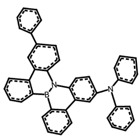 c1ccc(-c2ccc3c(c2)-c2ccccc2B2c4ccccc4-c4cc(N(c5ccccc5)c5ccccc5)ccc4N23)cc1